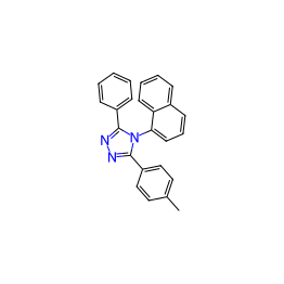 Cc1ccc(-c2nnc(-c3ccccc3)n2-c2cccc3ccccc23)cc1